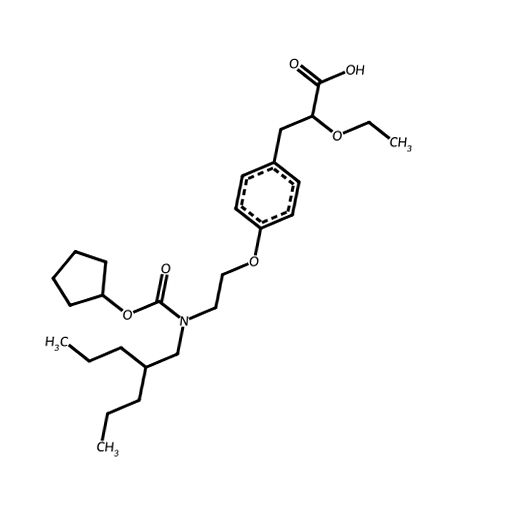 CCCC(CCC)CN(CCOc1ccc(CC(OCC)C(=O)O)cc1)C(=O)OC1CCCC1